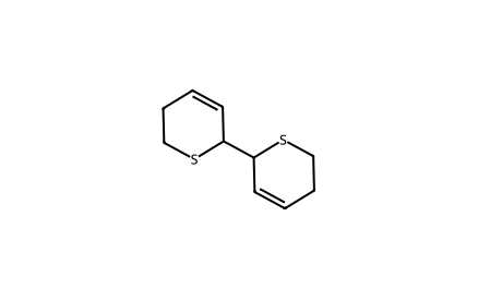 C1=CC(C2C=CCCS2)SCC1